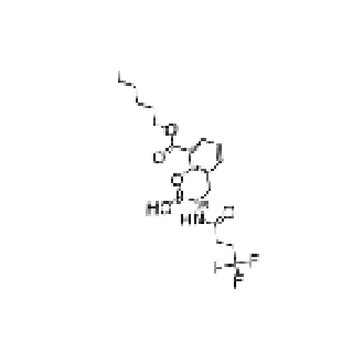 CCCCCCOC(=O)c1cccc2c1OB(O)[C@@H](NC(=O)CCC(F)(F)F)C2